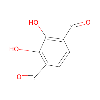 O=[C]c1ccc([C]=O)c(O)c1O